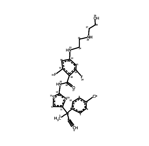 C#CC(C)(c1ccc(Cl)cc1)c1csc(NC(=O)c2c(F)cc(NCCNCCO)cc2F)n1